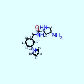 N[C@@H]1CN[C@H](C(=O)NCc2cccc(-n3cccc3)c2)C1